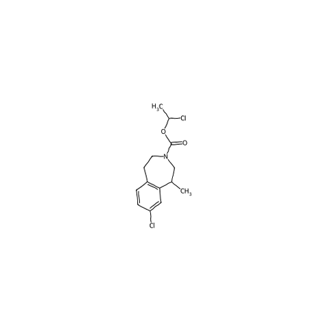 CC(Cl)OC(=O)N1CCc2ccc(Cl)cc2C(C)C1